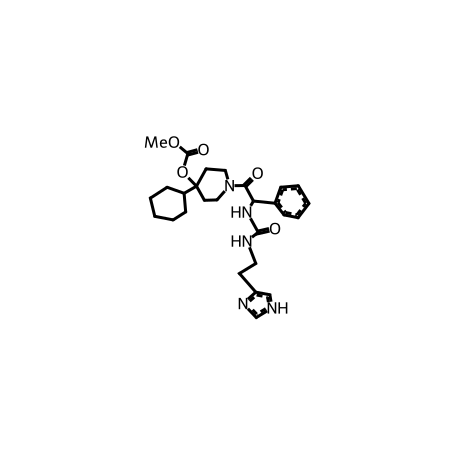 COC(=O)OC1(C2CCCCC2)CCN(C(=O)C(NC(=O)NCCc2c[nH]cn2)c2ccccc2)CC1